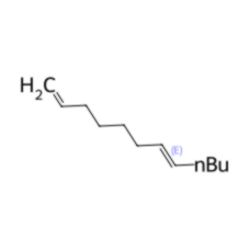 C=CCCCC/C=C/CCCC